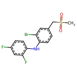 CS(=O)(=O)Cc1ccc(Nc2ccc(F)cc2F)c(Br)c1